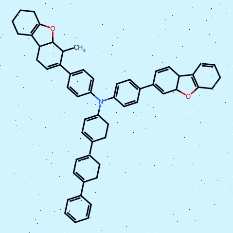 CC1C(c2ccc(N(C3=CC=C(C4=CC=C(c5ccccc5)CC4)CC3)c3ccc(C4=CC5OC6=C(C=CCC6)C5C=C4)cc3)cc2)=CCC2C3=C(CCCC3)OC12